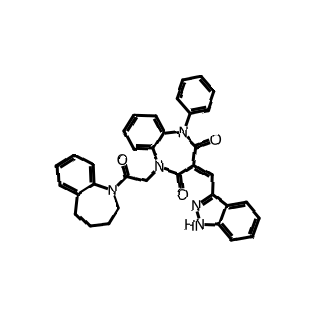 O=C(CN1C(=O)C(=Cc2n[nH]c3ccccc23)C(=O)N(c2ccccc2)c2ccccc21)N1CCCCc2ccccc21